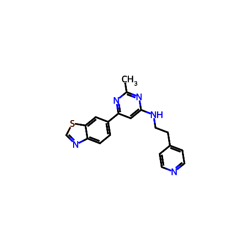 Cc1nc(NCCc2ccncc2)cc(-c2ccc3ncsc3c2)n1